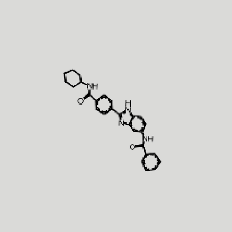 O=C(Nc1ccc2[nH]c(-c3ccc(C(=O)NC4CCCCC4)cc3)nc2c1)c1ccccc1